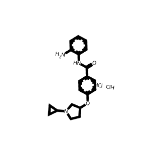 Cl.Cl.Nc1ccccc1NC(=O)c1ccc(OC2CCN(C3CC3)C2)cc1